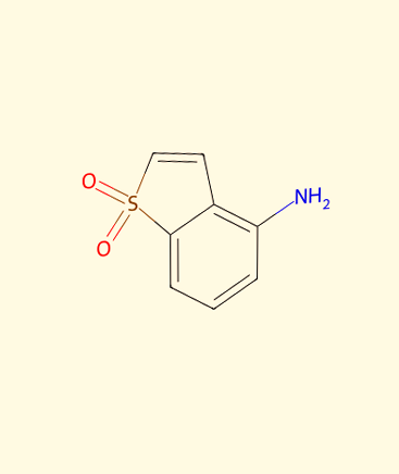 Nc1cccc2c1C=CS2(=O)=O